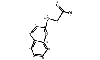 O=C(O)CNc1cnc2ccccc2n1